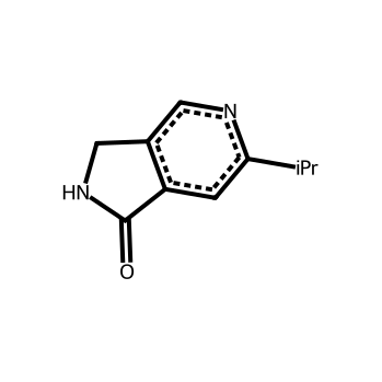 CC(C)c1cc2c(cn1)CNC2=O